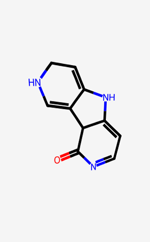 O=C1N=CC=C2NC3=CCNC=C3C12